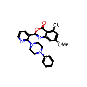 CCc1cc(OC)cc2nc(-c3cccnc3N3CCN(c4ccccc4)CC3)oc(=O)c12